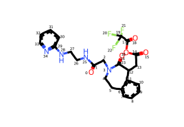 O=C(CN1CCc2ccccc2C(CC(=O)OC(=O)C(F)(F)F)C1=O)NCCNc1ccccn1